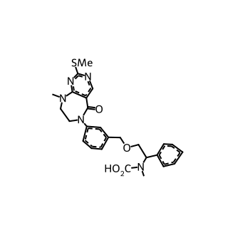 CSc1ncc2c(n1)N(C)CCN(c1cccc(COCC(c3ccccc3)N(C)C(=O)O)c1)C2=O